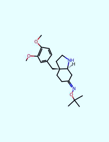 COc1ccc(C[C@@]23CCN[C@H]2CC(=NOC(C)(C)C)CC3)cc1OC